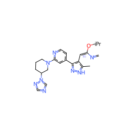 C=N/C(=C\c1c(-c2ccnc(N3CCCC(n4cncn4)C3)c2)n[nH]c1C)OC(C)C